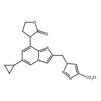 CCOC(=O)c1cn(Cc2cn3cc(C4CC4)cc(N4CCOC4=O)c3n2)nn1